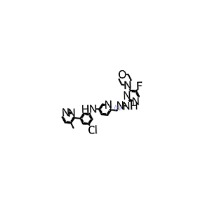 Cc1ccnnc1-c1cc(Cl)cc(Nc2ccc(/C=N/Nc3ncc(F)c(N4CCOCC4)n3)nc2)c1